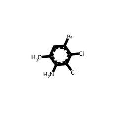 Cc1cc(Br)c(Cl)c(Cl)c1N